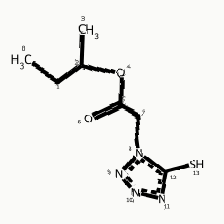 CCC(C)OC(=O)Cn1nnnc1S